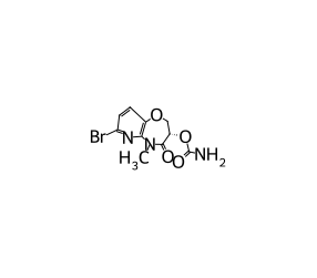 CN1C(=O)[C@@H](OC(N)=O)COc2ccc(Br)nc21